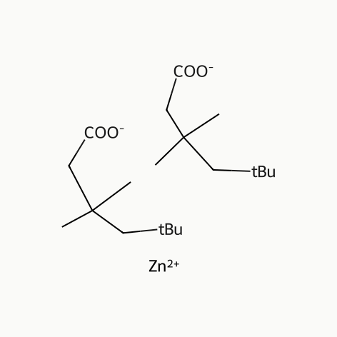 CC(C)(C)CC(C)(C)CC(=O)[O-].CC(C)(C)CC(C)(C)CC(=O)[O-].[Zn+2]